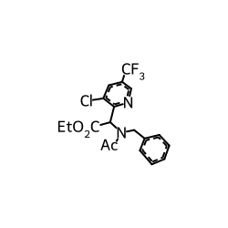 CCOC(=O)C(c1ncc(C(F)(F)F)cc1Cl)N(Cc1ccccc1)C(C)=O